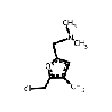 Cc1cc(CN(C)C)oc1CCl